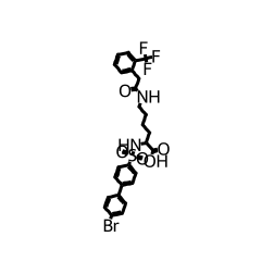 O=C(Cc1ccccc1C(F)(F)F)NCCCCC(NS(=O)(=O)c1ccc(-c2ccc(Br)cc2)cc1)C(=O)O